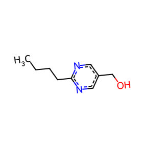 CCCCc1ncc(CO)cn1